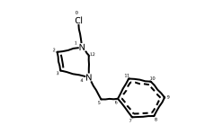 ClN1C=CN(Cc2ccccc2)C1